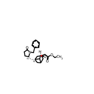 CCOC(=O)C[C@H]1CC2C[C@@](C[C@@H]3CCC(=O)N3Cc3ccccc3)(C1)C2C=O